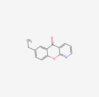 CCc1ccc2oc3ncccc3c(=O)c2c1